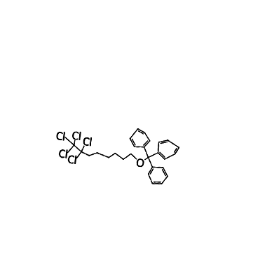 ClC(Cl)(Cl)C(Cl)(Cl)CCCCCCOC(c1ccccc1)(c1ccccc1)c1ccccc1